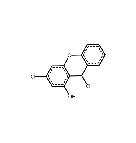 Oc1cc(Cl)cc2c1C(Cl)c1ccccc1O2